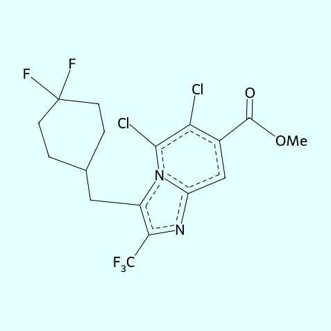 COC(=O)c1cc2nc(C(F)(F)F)c(CC3CCC(F)(F)CC3)n2c(Cl)c1Cl